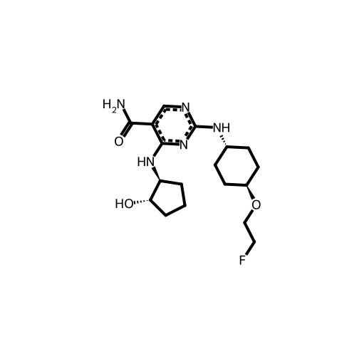 NC(=O)c1cnc(N[C@H]2CC[C@H](OCCF)CC2)nc1N[C@H]1CCC[C@@H]1O